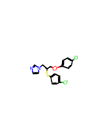 Clc1ccc(OCC(Cn2ccnc2)Sc2ccc(Cl)cc2)cc1